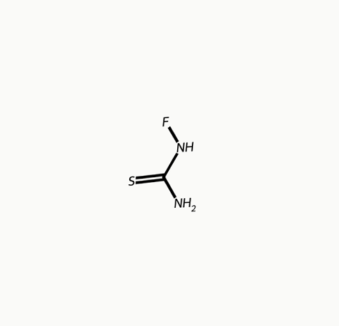 NC(=S)NF